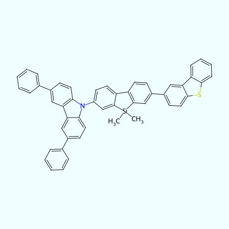 C[Si]1(C)c2cc(-c3ccc4sc5ccccc5c4c3)ccc2-c2ccc(-n3c4ccc(-c5ccccc5)cc4c4cc(-c5ccccc5)ccc43)cc21